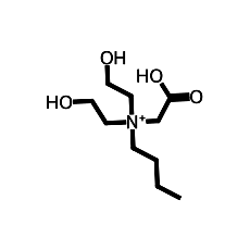 CCCC[N+](CCO)(CCO)CC(=O)O